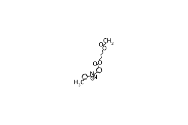 C=CC(=O)OCCCCCOC(=O)c1cccc(-c2noc(-c3cccc(C)c3)n2)c1